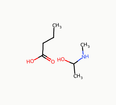 CCCC(=O)O.CNC(C)O